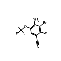 N#Cc1cc(OC(F)(F)F)c(N)c(Br)c1F